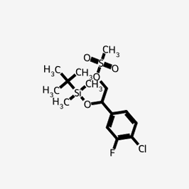 CC(C)(C)[Si](C)(C)OC(COS(C)(=O)=O)c1ccc(Cl)c(F)c1